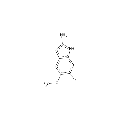 Nc1cc2cc(OC(F)(F)F)c(F)cc2[nH]1